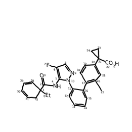 CCC1(C(=O)Nc2c(F)cnn2-c2ccccc2-c2ccc(C3(C(=O)O)CC3)cc2C)C=CC=CC1